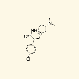 CN(C)[C@H]1CCN(C[C@H](C(N)=O)c2ccc(Cl)cc2)C1